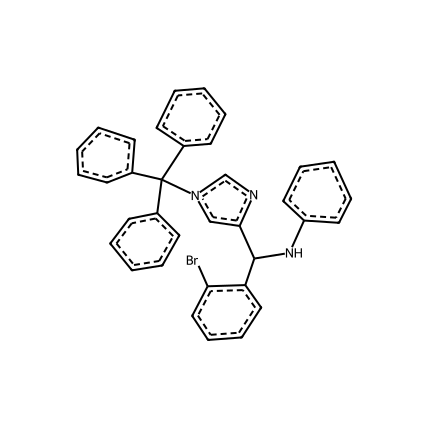 Brc1ccccc1C(Nc1ccccc1)c1cn(C(c2ccccc2)(c2ccccc2)c2ccccc2)cn1